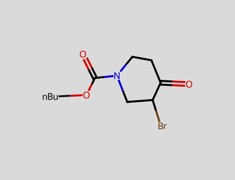 CCCCOC(=O)N1CCC(=O)C(Br)C1